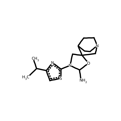 CC(C)c1csc(N2CC3(CN4CCC3CC4)OC2N)n1